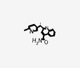 Cc1ccc([C@H](C)c2cc(C(N)=O)c3ccccc3n2)cn1